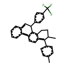 Cc1ccc(C2=c3ccc4c(c3CCC2C)C(c2ccc(C(F)(F)F)cc2)C=c2ccccc2=4)cc1